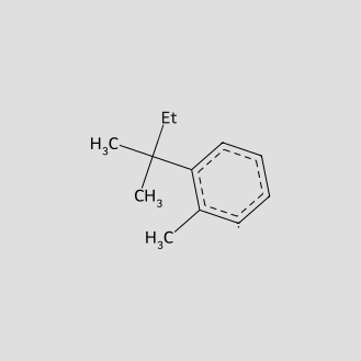 CCC(C)(C)c1ccc[c]c1C